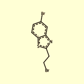 BrCCc1nc2cc(Br)ccc2s1